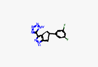 Fc1cc(F)cc(C2Cc3[nH]nc(-c4nnn[nH]4)c3C2)c1